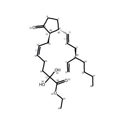 C=C[C@@H](C/C=C/[C@H]1CCC(=O)[C@@H]1C/C=C\CCC(O)(O)C(=O)OCC)CCCC